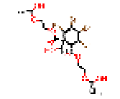 CCC(O)C1(C(=O)OCCOC(C)O)C(Br)=C(Br)C(Br)=C(Br)C1C(=O)OCCOC(C)O